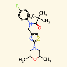 CC1CN(c2nc(CN(C(=O)C(C)(C)C)c3ccc(F)cc3)cs2)CC(C)O1